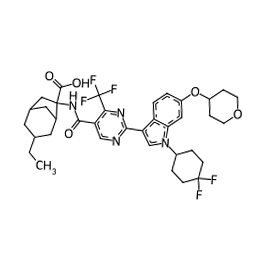 CCC1CC2CC(C1)C(NC(=O)c1cnc(-c3cn(C4CCC(F)(F)CC4)c4cc(OC5CCOCC5)ccc34)nc1C(F)(F)F)(C(=O)O)C2